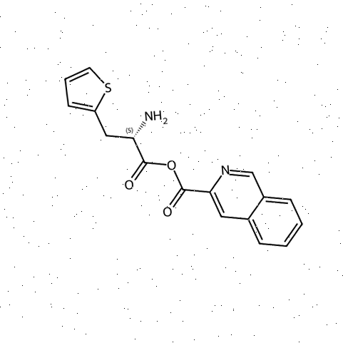 N[C@@H](Cc1cccs1)C(=O)OC(=O)c1cc2ccccc2cn1